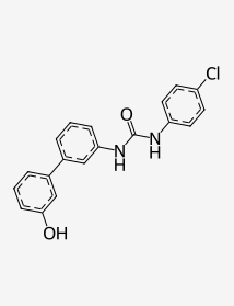 O=C(Nc1ccc(Cl)cc1)Nc1cccc(-c2cccc(O)c2)c1